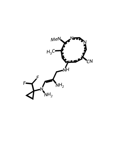 CNc1ncncc(C#N)cc(NC/C(N)=C/N(N)C2(C(F)F)CC2)cc1C